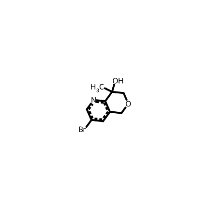 CC1(O)COCc2cc(Br)cnc21